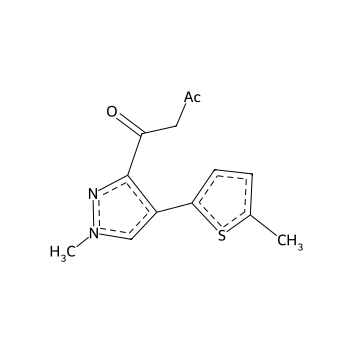 CC(=O)CC(=O)c1nn(C)cc1-c1ccc(C)s1